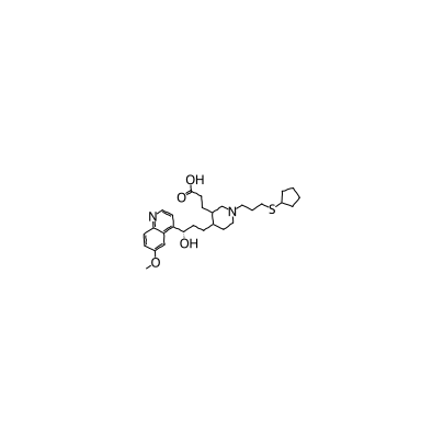 COc1ccc2nccc([C@@H](O)CCC3CCN(CCCSC4CCCC4)CC3CCC(=O)O)c2c1